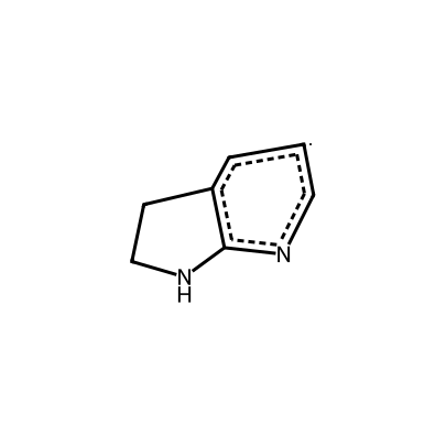 [c]1cnc2c(c1)CCN2